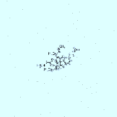 COCC(C)SC1=NC2(C(=O)N1C(C)COC)c1cc(CCC3CC3)ccc1CC21CCC(OC)CC1